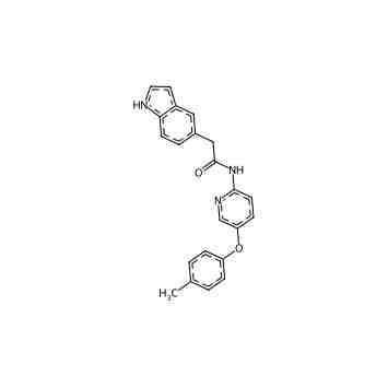 Cc1ccc(Oc2ccc(NC(=O)Cc3ccc4[nH]ccc4c3)nc2)cc1